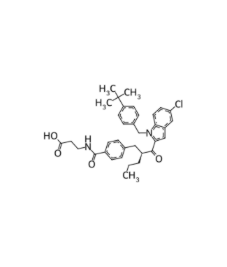 CCC[C@@H](Cc1ccc(C(=O)NCCC(=O)O)cc1)C(=O)c1cc2cc(Cl)ccc2n1Cc1ccc(C(C)(C)C)cc1